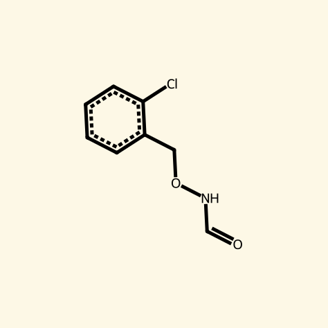 O=CNOCc1ccccc1Cl